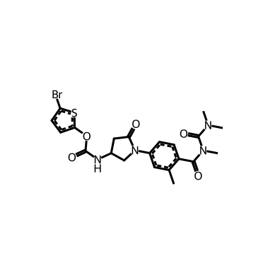 Cc1cc(N2CC(NC(=O)Oc3ccc(Br)s3)CC2=O)ccc1C(=O)N(C)C(=O)N(C)C